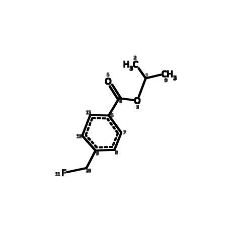 CC(C)OC(=O)c1ccc(CF)cc1